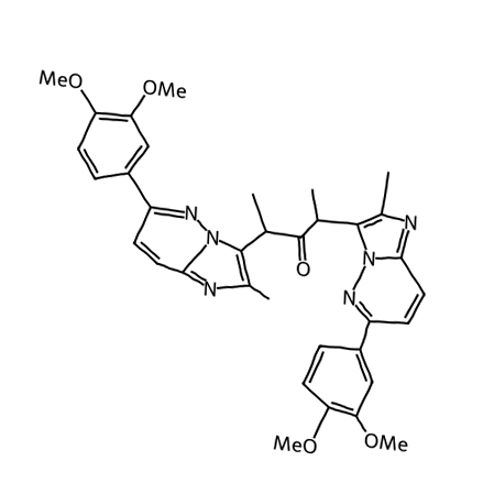 COc1ccc(-c2ccc3nc(C)c(C(C)C(=O)C(C)c4c(C)nc5ccc(-c6ccc(OC)c(OC)c6)nn45)n3n2)cc1OC